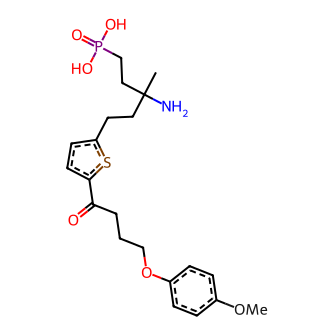 COc1ccc(OCCCC(=O)c2ccc(CCC(C)(N)CCP(=O)(O)O)s2)cc1